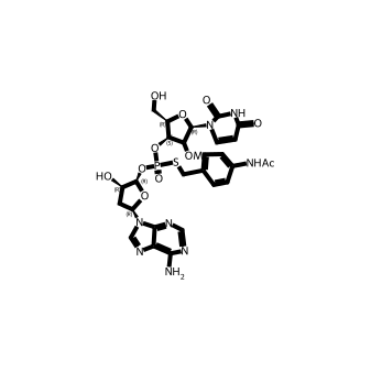 COC1[C@@H](OP(=O)(O[C@H]2O[C@@H](n3cnc4c(N)ncnc43)C[C@H]2O)SCc2ccc(NC(C)=O)cc2)[C@@H](CO)O[C@H]1n1ccc(=O)[nH]c1=O